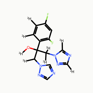 [2H]OC(c1c(F)cc(F)c([2H])c1[2H])(C([2H])n1cncn1)C([2H])([2H])n1nc([2H])nc1[2H]